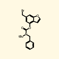 CC(C)(C)N(Cc1ccccc1)C(=O)Oc1cc(CBr)cc2occc12